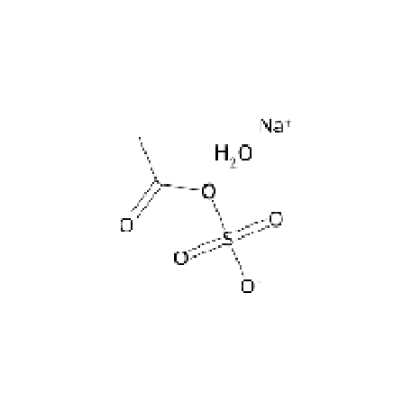 CC(=O)OS(=O)(=O)[O-].O.[Na+]